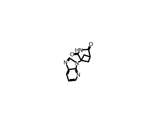 O=C1NC(=O)C2(n3cnc4cccnc43)CC1C2